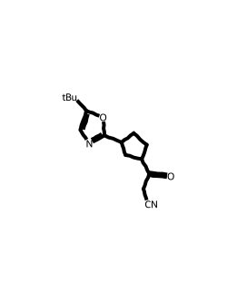 CC(C)(C)c1cnc(C2CCC(C(=O)CC#N)C2)o1